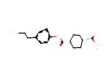 CCCc1ccc(OC(=O)[C@H]2CC[C@H](C(=O)O)CC2)cc1